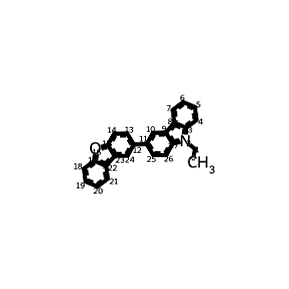 CCn1c2ccccc2c2cc(-c3ccc4oc5ccccc5c4c3)ccc21